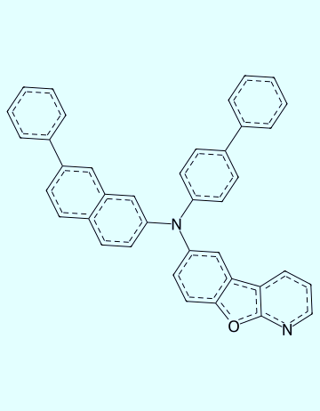 c1ccc(-c2ccc(N(c3ccc4ccc(-c5ccccc5)cc4c3)c3ccc4oc5ncccc5c4c3)cc2)cc1